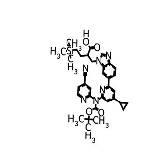 CC(C)(C)OC(=O)N(c1cc(C#N)ccn1)c1cc(C2CC2)cc(-c2ccc3ncn(CC(CC[Si](C)(C)C)C(=O)O)c3c2)n1